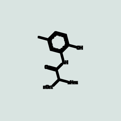 CCCCCCCCC(CCCCCC)C(=O)Nc1cc(C)ccc1O